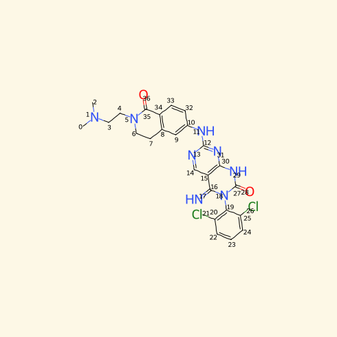 CN(C)CCN1CCc2cc(Nc3ncc4c(=N)n(-c5c(Cl)cccc5Cl)c(=O)[nH]c4n3)ccc2C1=O